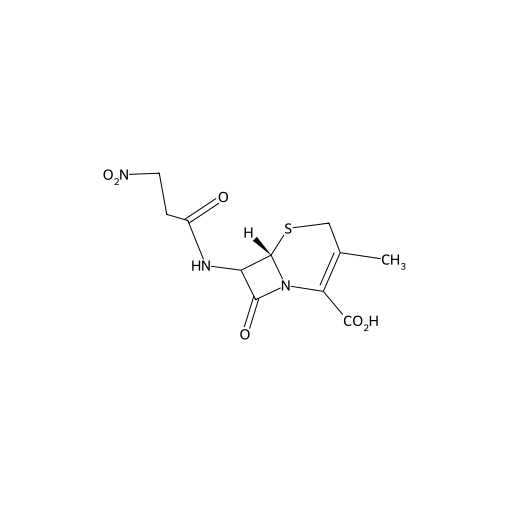 CC1=C(C(=O)O)N2C(=O)C(NC(=O)CC[N+](=O)[O-])[C@@H]2SC1